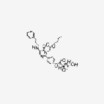 CCCCOC(=O)Cn1c(-c2ccc(O[C@@H]3CO[C@H]4[C@@H]3OC[C@H]4O)cc2)ncc(NCCCc2ccccc2)c1=O